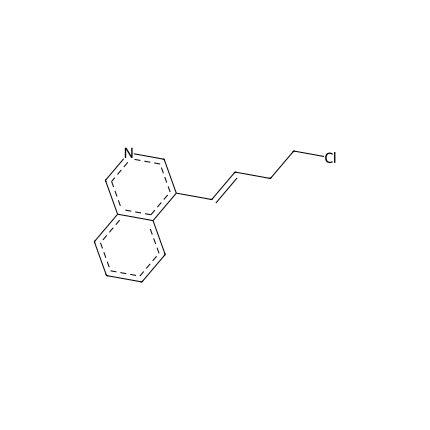 ClCCC=Cc1cncc2ccccc12